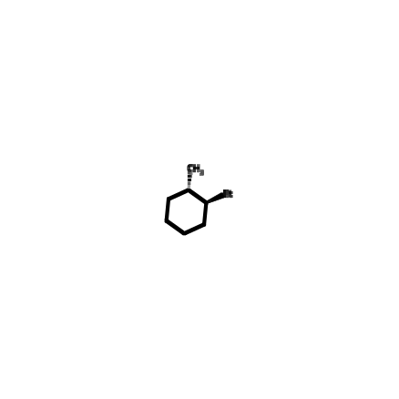 CC[C@H]1CCCC[C@@H]1C